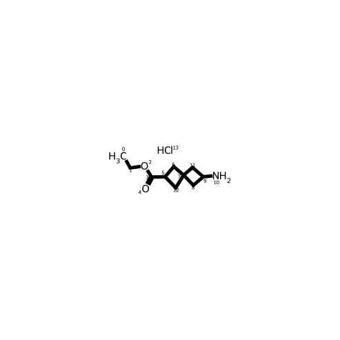 CCOC(=O)C1CC2(CC(N)C2)C1.Cl